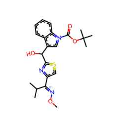 CO/N=C(/c1csc(C(O)c2cn(C(=O)OC(C)(C)C)c3ccccc23)n1)C(C)C